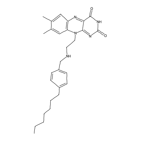 CCCCCCCc1ccc(CNCCn2c3nc(=O)[nH]c(=O)c-3nc3cc(C)c(C)cc32)cc1